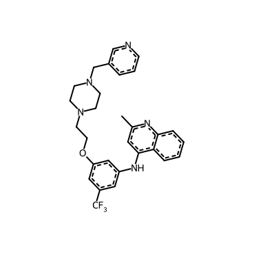 Cc1cc(Nc2cc(OCCN3CCN(Cc4cccnc4)CC3)cc(C(F)(F)F)c2)c2ccccc2n1